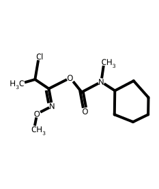 CON=C(OC(=O)N(C)C1CCCCC1)C(C)Cl